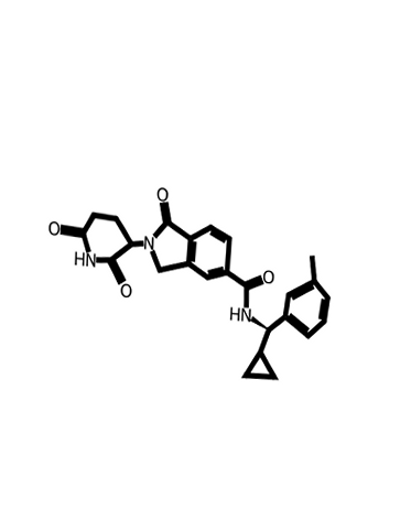 Cc1cccc([C@H](NC(=O)c2ccc3c(c2)CN(C2CCC(=O)NC2=O)C3=O)C2CC2)c1